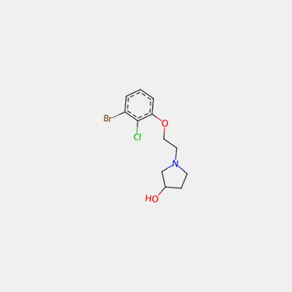 OC1CCN(CCOc2cccc(Br)c2Cl)C1